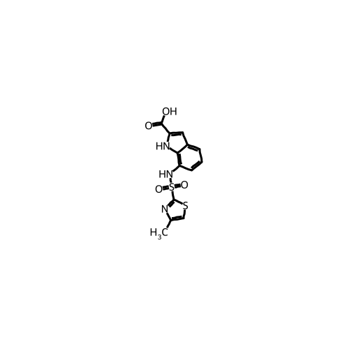 Cc1csc(S(=O)(=O)Nc2cccc3cc(C(=O)O)[nH]c23)n1